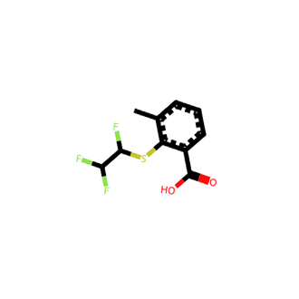 Cc1cccc(C(=O)O)c1SC(F)C(F)F